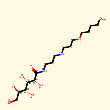 CCCCCCCCCCCCCCOCCCNCCCNC(=O)[C@H](O)[C@@H](O)[C@H](O)[C@H](O)CO